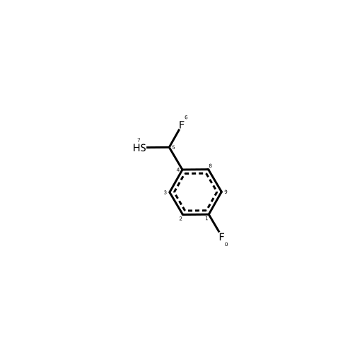 Fc1ccc(C(F)S)cc1